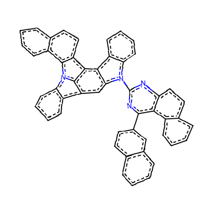 c1ccc2cc(-c3nc(-n4c5ccccc5c5c6c7ccc8ccccc8c7n7c8ccccc8c(cc54)c67)nc4ccc5ccccc5c34)ccc2c1